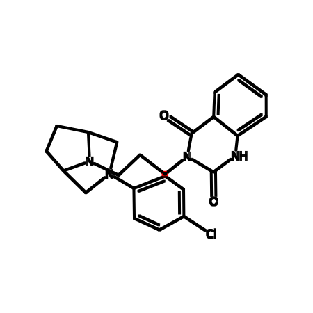 O=c1[nH]c2ccccc2c(=O)n1CCCN1C2CCC1CN(c1ccc(Cl)cc1)C2